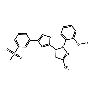 CCOc1ccccc1-n1nc(C(F)(F)F)cc1-c1cc(-c2cccc(S(C)(=O)=O)c2)cs1